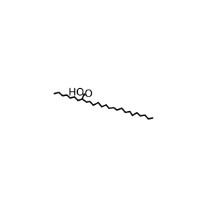 CCCCCCCCCCCCCCCCCCC(CCCCCCC)C(=O)O